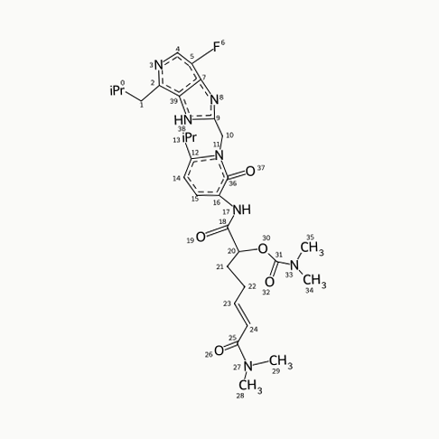 CC(C)Cc1ncc(F)c2nc(Cn3c(C(C)C)ccc(NC(=O)C(CCC=CC(=O)N(C)C)OC(=O)N(C)C)c3=O)[nH]c12